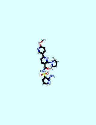 CC(C)Oc1ccc(-c2ccc(C(=O)NS(=O)(=O)c3cccnc3N)c(N3[C@H](C)CC[C@@H]3C)n2)cn1